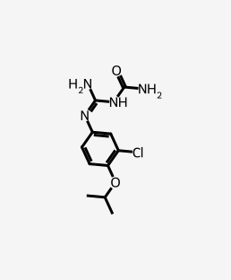 CC(C)Oc1ccc(/N=C(/N)NC(N)=O)cc1Cl